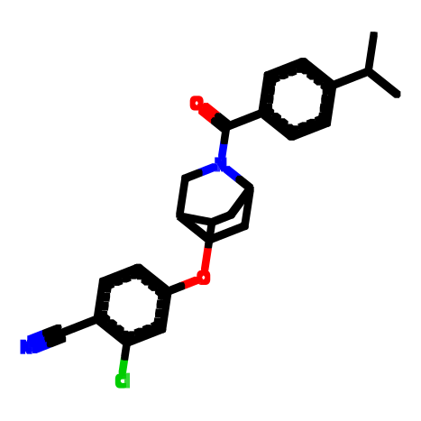 CC(C)c1ccc(C(=O)N2CC3CCC2CC3Oc2ccc(C#N)c(Cl)c2)cc1